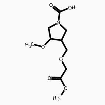 COC(=O)COCC1CN(C(=O)O)CC1OC